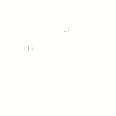 C=C/C(CCC)=C(\C=C/C)CC